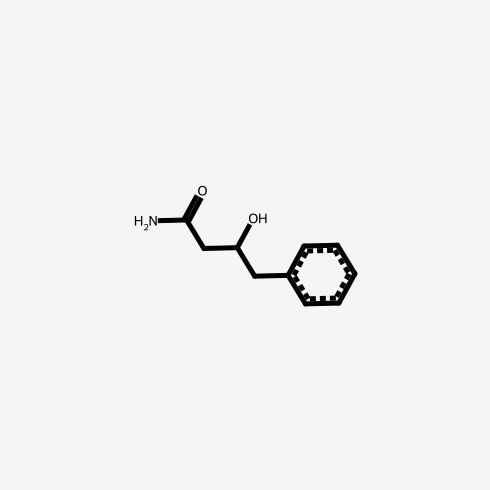 NC(=O)CC(O)Cc1ccccc1